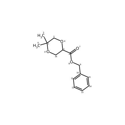 CC1(C)COC(C(=O)OCc2ccccc2)CO1